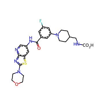 O=C(O)NCC1CCN(c2cc(F)cc(C(=O)Nc3cnc4nc(N5CCOCC5)sc4c3)c2)CC1